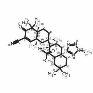 CC(=O)C[C@@H]1[C@@]2(C)C=C(C#N)C(=O)C(C)(C)[C@@H]2CC[C@@]1(C)[C@]1(C)CC[C@@]2(c3nnn(C)n3)CCC(C)(C)CC2C1